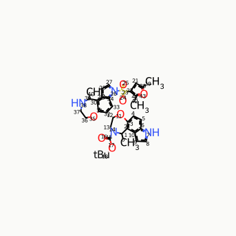 CC1c2c(ccc3[nH]ccc23)OCCN1C(=O)OC(C)(C)C.Cc1cc(S(=O)(=O)n2ccc3c4c(ccc32)OCCNC4C)c(C)o1